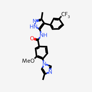 COc1cc(C(=O)Nc2[nH]nc(C)c2-c2cccc(C(F)(F)F)c2)ccc1-n1cnc(C)c1